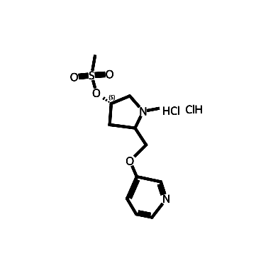 CN1C[C@@H](OS(C)(=O)=O)CC1COc1cccnc1.Cl.Cl